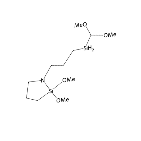 COC(OC)[SiH2]CCCN1CCC[Si]1(OC)OC